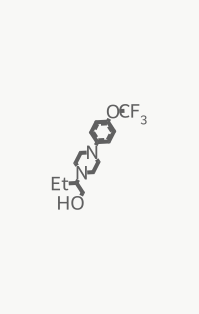 CCC(CO)N1CCN(c2ccc(OC(F)(F)F)cc2)CC1